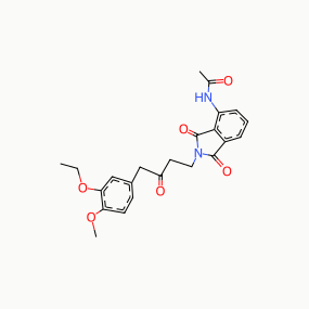 CCOc1cc(CC(=O)CCN2C(=O)c3cccc(NC(C)=O)c3C2=O)ccc1OC